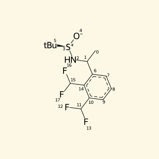 CC(N[S@+]([O-])C(C)(C)C)c1cccc(C(F)F)c1C(F)F